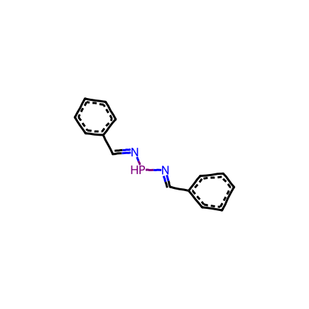 C(=N\P/N=C/c1ccccc1)/c1ccccc1